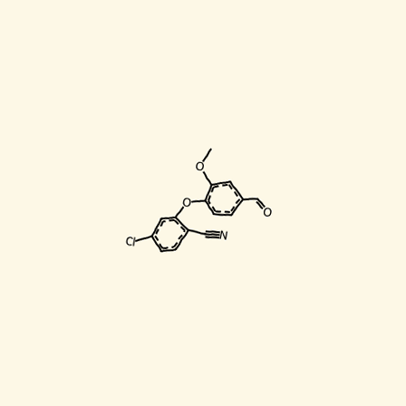 COc1cc(C=O)ccc1Oc1cc(Cl)ccc1C#N